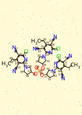 CCc1c(C#N)c(Cl)nc(N2CCC(OP(=O)(OC3CCN(c4nc(Cl)c(C#N)c(CC)c4C#N)C3)OC3CCN(c4nc(Cl)c(C#N)c(CC)c4C#N)C3)C2)c1C#N